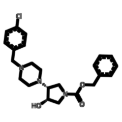 O=C(OCc1ccccc1)N1C[C@@H](O)[C@H](N2CCN(Cc3ccc(Cl)cc3)CC2)C1